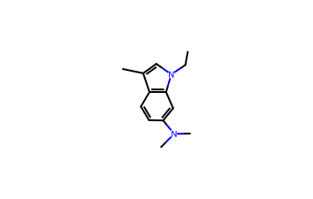 CCn1cc(C)c2ccc(N(C)C)cc21